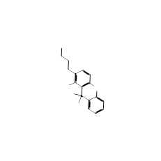 CCCCc1ccc2c(c1P)C(C)(C)c1ccccc1O2